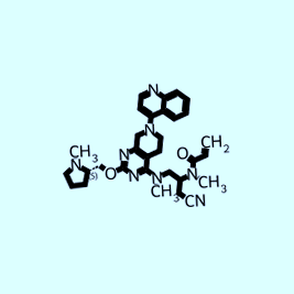 C=CC(=O)N(C)C(CC#N)CN(C)c1nc(OC[C@@H]2CCCN2C)nc2c1CCN(c1ccnc3ccccc13)C2